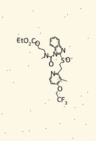 CCOC(=O)OCCN(C)C(=O)n1c([S+]([O-])CCc2nccc(OCC(F)(F)F)c2C)nc2ccccc21